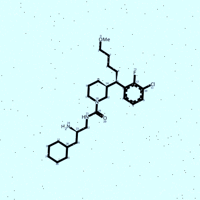 COCCCC[C@@H](c1cccc(Cl)c1F)[C@@H]1CCCN(C(=O)NC[C@H](N)CC2CCCCC2)C1